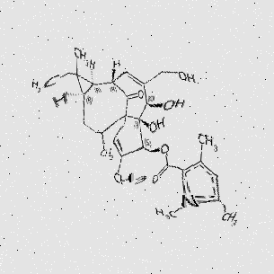 CC1=CC23C(=O)[C@@H](C=C(CO)[C@@H](O)[C@]2(O)[C@H]1OC(=O)c1c(C)cc(C)n1C)[C@H]1[C@@H](CC3C)C1(C)C